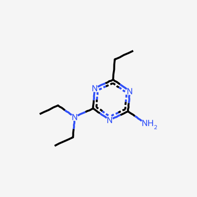 CCc1nc(N)nc(N(CC)CC)n1